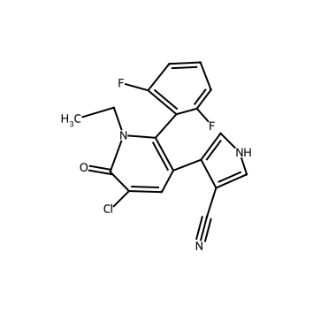 CCn1c(-c2c(F)cccc2F)c(-c2c[nH]cc2C#N)cc(Cl)c1=O